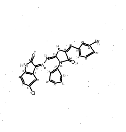 O=C1Nc2ccc(Cl)cc2C1=NN=C1SC(=Cc2cccc(Br)c2)C(=O)N1c1ccccc1